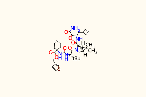 CC(C)(C)[C@H](NC(=O)NC1(C(=O)OCc2ccsc2)CCCCC1)C(=O)N1C[C@H]2[C@@H]([C@H]1C(=O)NC(CC1CCC1)C(=O)C(N)=O)C2(C)C